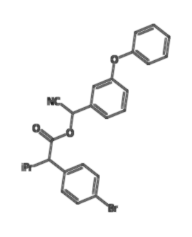 CC(C)C(C(=O)OC(C#N)c1cccc(Oc2ccccc2)c1)c1ccc(Br)cc1